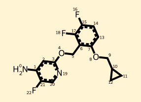 Nc1cc(OCc2c(OCC3CC3)ccc(F)c2F)ncc1F